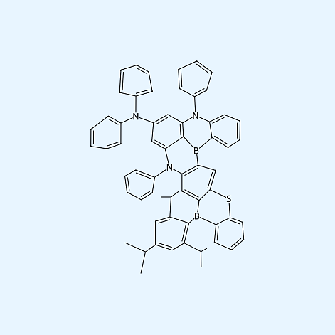 CC(C)c1cc(C(C)C)c(B2c3ccccc3Sc3cc4c(cc32)N(c2ccccc2)c2cc(N(c3ccccc3)c3ccccc3)cc3c2B4c2ccccc2N3c2ccccc2)c(C(C)C)c1